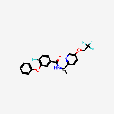 C[C@@H](NC(=O)c1ccc(F)c(Oc2ccccc2)c1)c1ccc(OCC(F)(F)F)cn1